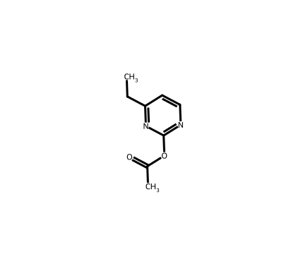 CCc1ccnc(OC(C)=O)n1